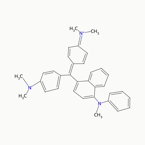 CN(C)c1ccc(C(=C2C=CC(=[N+](C)C)C=C2)c2ccc(N(C)c3ccccc3)c3ccccc23)cc1